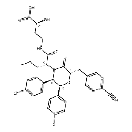 CCC[C@H](C(=O)NCC[C@H](O)C(=O)O)N1C(=O)[C@H](Cc2ccc(C#N)cc2)O[C@@H](c2ccc(Cl)cc2)[C@H]1c1ccc(Cl)cc1